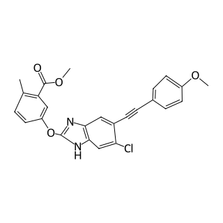 COC(=O)c1cc(Oc2nc3cc(C#Cc4ccc(OC)cc4)c(Cl)cc3[nH]2)ccc1C